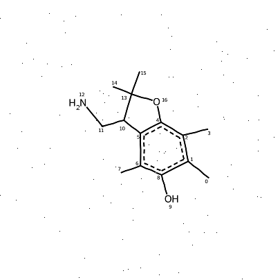 Cc1c(C)c2c(c(C)c1O)C(CN)C(C)(C)O2